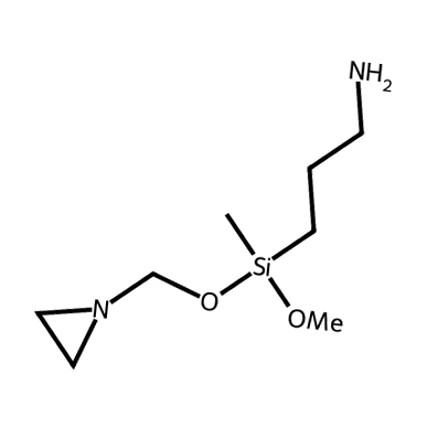 CO[Si](C)(CCCN)OCN1CC1